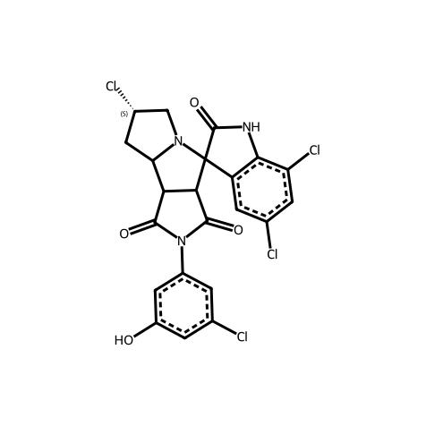 O=C1C2C3C[C@H](Cl)CN3C3(C(=O)Nc4c(Cl)cc(Cl)cc43)C2C(=O)N1c1cc(O)cc(Cl)c1